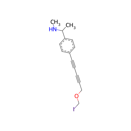 CNC(C)c1ccc(C#CC#CCOCI)cc1